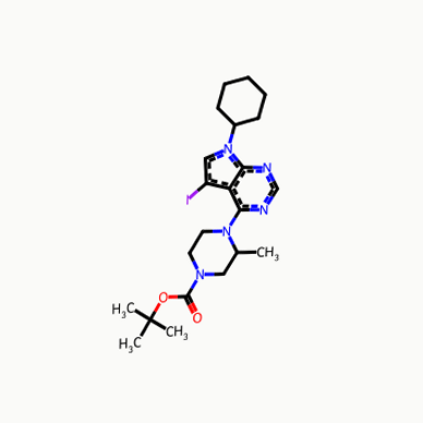 CC1CN(C(=O)OC(C)(C)C)CCN1c1ncnc2c1c(I)cn2C1CCCCC1